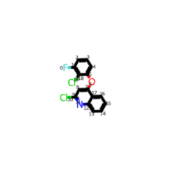 Fc1cccc(Oc2cc(Cl)nc3ccccc23)c1Cl